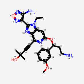 CCn1c(-c2nonc2N)nc2c(C#CC(C)(C)O)nc(OC(CCN)c3cccc(OC)c3)cc21